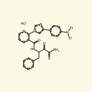 CCN(CC)c1ccc(-c2cn(-c3ncccc3C(=O)NC(Cc3ccccc3)C(=O)C(N)=O)cn2)cc1.Cl